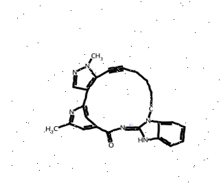 Cc1cc2cc(n1)-c1cnn(C)c1C#CCCCCN1/C(=N/C2=O)Nc2ccccc21